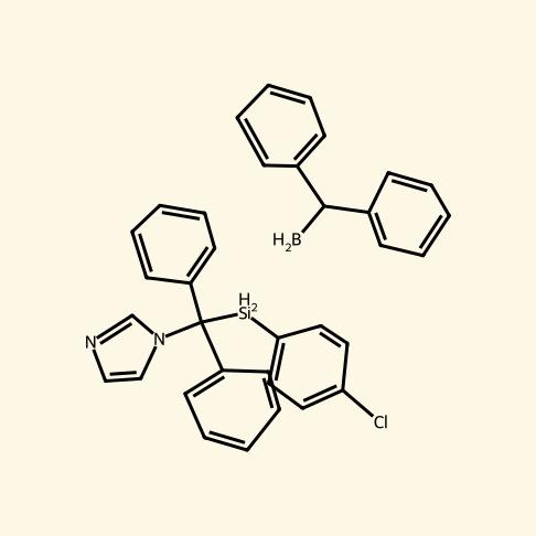 BC(c1ccccc1)c1ccccc1.Clc1ccc([SiH2]C(c2ccccc2)(c2ccccc2)n2ccnc2)cc1